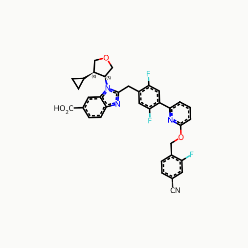 N#Cc1ccc(COc2cccc(-c3cc(F)c(Cc4nc5ccc(C(=O)O)cc5n4[C@@H]4COC[C@@H]4C4CC4)cc3F)n2)c(F)c1